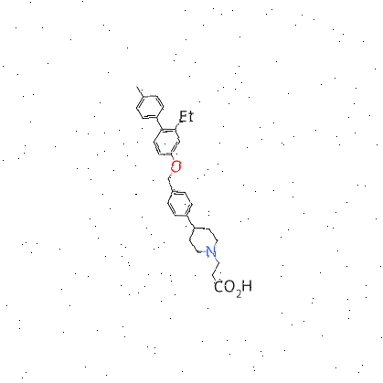 CCc1cc(OCc2ccc(C3CCN(CCC(=O)O)CC3)cc2)ccc1-c1ccc(C)cc1